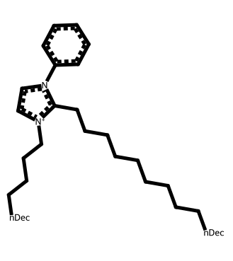 CCCCCCCCCCCCCCCCCCCc1n(-c2ccccc2)cc[n+]1CCCCCCCCCCCCCC